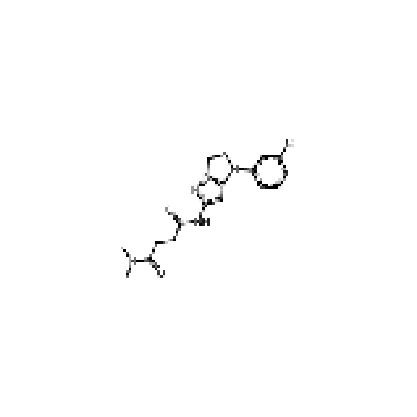 CN(C)C(=O)CCC(=O)Nc1cc2n(n1)CCN2c1cccc(Cl)c1